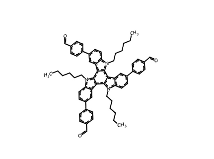 CCCCCCn1c2ccc(-c3ccc(C=O)cc3)cc2c2c1c1c3cc(-c4ccc(C=O)cc4)ccc3n(CCCCCC)c1c1c3cc(-c4ccc(C=O)cc4)ccc3n(CCCCCC)c21